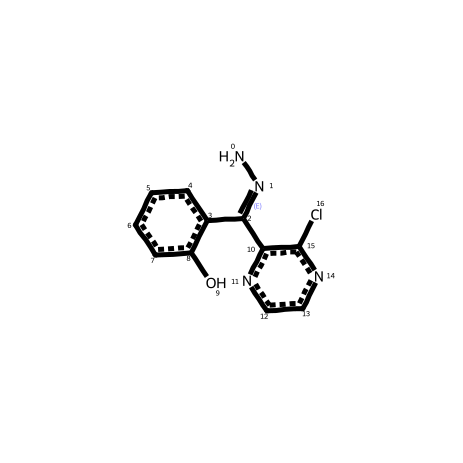 N/N=C(\c1ccccc1O)c1nccnc1Cl